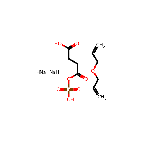 C=CCOCC=C.O=C(O)CCC(=O)OS(=O)(=O)O.[NaH].[NaH]